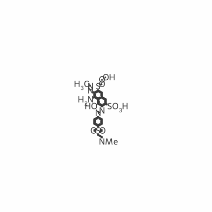 CN=Nc1c(SOOO)cc2cc(S(=O)(=O)O)c(N=Nc3ccc(S(=O)(=O)CCNC)cc3)c(O)c2c1N